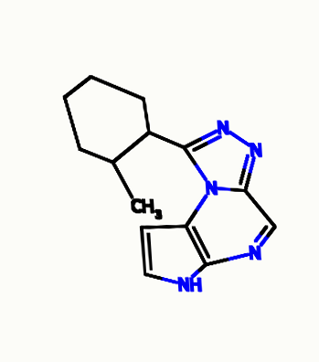 CC1CCCCC1c1nnc2cnc3[nH]ccc3n12